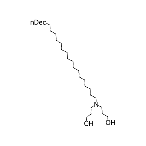 CCCCCCCCCCCCCCCCCCCCCCCCCCCN(CCCO)CCCO